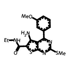 CCNC(=O)c1sc2nc(SC)nc(-c3cccc(OC)c3)c2c1N